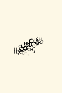 Cc1cc(C(C)(C)C)c(Cl)cc1-c1cc(=O)c2c(-c3ncc(Cl)n3C)nccc2[nH]1